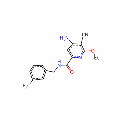 CCOc1nc(C(=O)NCc2cccc(C(F)(F)F)c2)cc(N)c1C#N